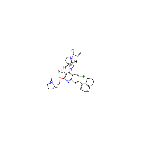 C=CC(=O)N1CC[C@@H]2[C@H]1CN2c1c(C#N)c(OC[C@@H]2CCCN2C)nc2cc(-c3cccc4c3CCCC4)c(F)cc12